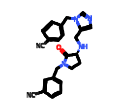 N#Cc1ccc(Cn2cncc2CN[C@@H]2CCN(Cc3cccc(C#N)c3)C2=O)cc1